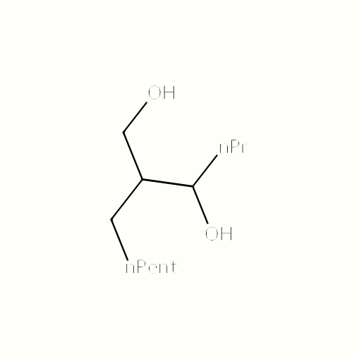 CCCCCCC(CO)C(O)CCC